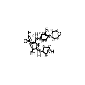 CCc1nc(C(N)=O)c(Nc2ccc(N3CCOCC3)c(F)c2)nc1N[C@@H]1CCNC1